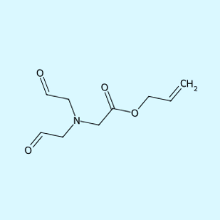 C=CCOC(=O)CN(CC=O)CC=O